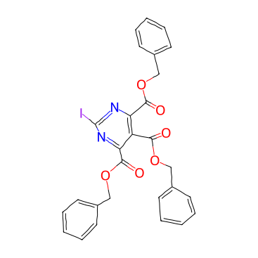 O=C(OCc1ccccc1)c1nc(I)nc(C(=O)OCc2ccccc2)c1C(=O)OCc1ccccc1